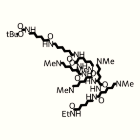 CCNC(=O)CCCCCNC(=O)C(CCCCNC)NC(=O)C(CCCCNC)NC(=O)C(CCCCNC)NC(=O)C(CCCCNC)NC(=O)C(CCCCNC)NC(=O)CCCCCNC(=O)CCCCCNC(=O)OC(C)(C)C